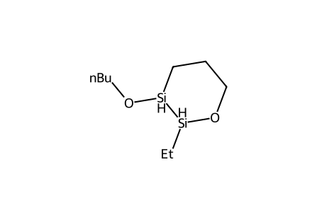 CCCCO[SiH]1CCCO[SiH]1CC